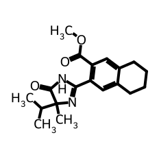 COC(=O)c1cc2c(cc1C1=NC(C)(C(C)C)C(=O)N1)CCCC2